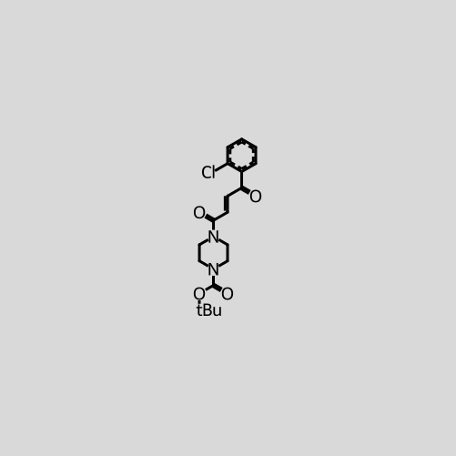 CC(C)(C)OC(=O)N1CCN(C(=O)/C=C/C(=O)c2ccccc2Cl)CC1